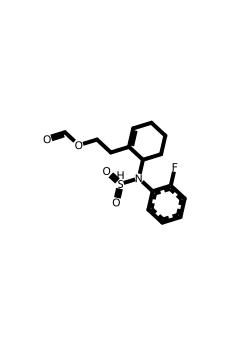 O=COCCC1=CCCCC1N(c1ccccc1F)[SH](=O)=O